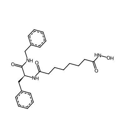 O=C(CCCCCCC(=O)N[C@@H](Cc1ccccc1)C(=O)NCc1ccccc1)NO